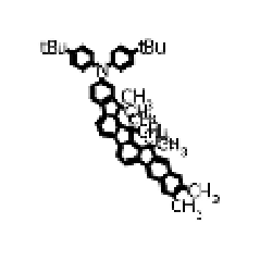 Cc1cc2cc3c(cc2cc1C)C(C)(C)c1c-3ccc2c1C(C)(C)c1c-2ccc2c1C(C)(C)c1cc(N(c3ccc(C(C)(C)C)cc3)c3ccc(C(C)(C)C)cc3)ccc1-2